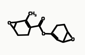 CC1=C(C(=O)OC2=CC3OC3CC2)CCC2OC12